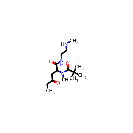 CCC(=O)CC(C(=O)NCCNC)N(C)C(=O)C(C)(C)C